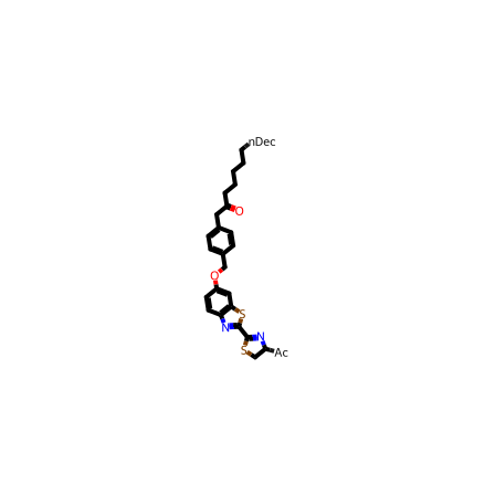 CCCCCCCCCCCCCCCC(=O)Cc1ccc(COc2ccc3nc(C4=NC(C(C)=O)CS4)sc3c2)cc1